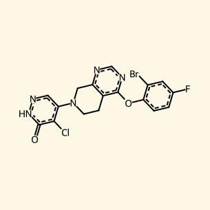 O=c1[nH]ncc(N2CCc3c(ncnc3Oc3ccc(F)cc3Br)C2)c1Cl